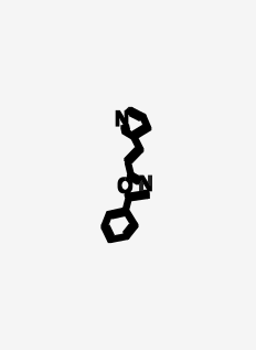 C(=Cc1ncc(-c2ccccc2)o1)c1cccnc1